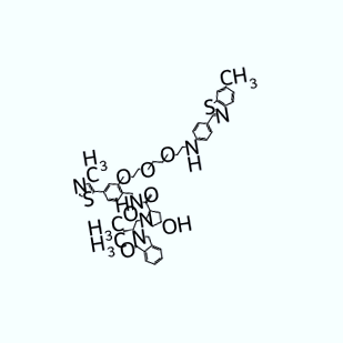 Cc1ccc2nc(-c3ccc(NCCOCCOCCOc4cc(-c5scnc5C)ccc4CNC(=O)C4C[C@@H](O)CN4C(=O)[C@H](C(C)C)N4Cc5ccccc5C4=O)cc3)sc2c1